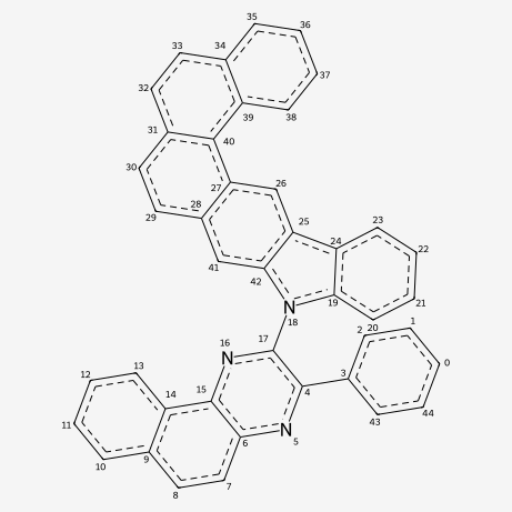 c1ccc(-c2nc3ccc4ccccc4c3nc2-n2c3ccccc3c3cc4c(ccc5ccc6ccccc6c54)cc32)cc1